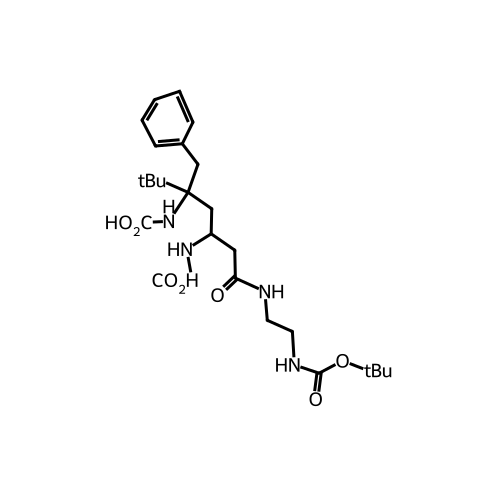 CC(C)(C)OC(=O)NCCNC(=O)CC(CC(Cc1ccccc1)(NC(=O)O)C(C)(C)C)NC(=O)O